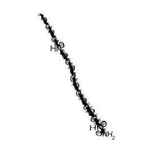 CCCOCCOCCOCCOCCC(=O)NCCOCCOCCOCCOCCOCCOCCOCCOCCOCCOCCC(=O)NCC(N)=O